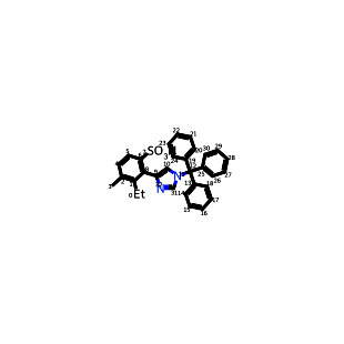 CCc1c(C)ccc(S(=O)(=O)O)c1-c1cn(C(c2ccccc2)(c2ccccc2)c2ccccc2)cn1